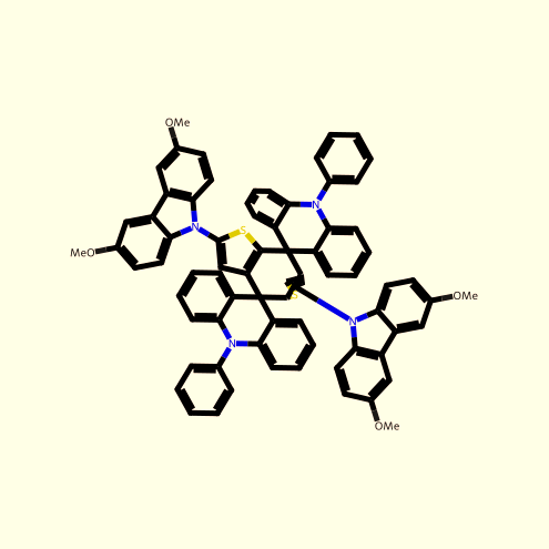 COc1ccc2c(c1)c1cc(OC)ccc1n2-c1cc2c(s1)C1(c3ccccc3N(c3ccccc3)c3ccccc31)c1cc(-n3c4ccc(OC)cc4c4cc(OC)ccc43)sc1C21c2ccccc2N(c2ccccc2)c2ccccc21